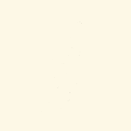 CC(C#N)=CC1C(C(=O)OCc2c(F)c(F)cc(F)c2F)C1(C)C